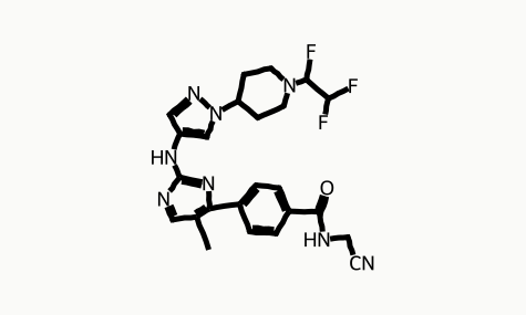 Cc1cnc(Nc2cnn(C3CCN(C(F)C(F)F)CC3)c2)nc1-c1ccc(C(=O)NCC#N)cc1